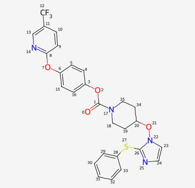 O=C(Oc1ccc(Oc2ccc(C(F)(F)F)cn2)cc1)N1CCC(On2ccnc2Sc2ccccc2)CC1